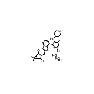 Cc1cc(Cl)nc(-c2ccnc3cc(CN4C(=O)C5C(C4=O)C5(C)C)sc23)c1NC1CCNCC1.Cl.Cl.Cl.Cl